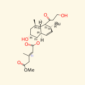 CC[C@@H](C)[C@H]1C=C[C@H]2[C@H](OC(=O)/C=C(\C)CC(=O)OC)[C@H](O)C[C@@H](C)[C@@H]2[C@@]1(C)C(=O)CCO